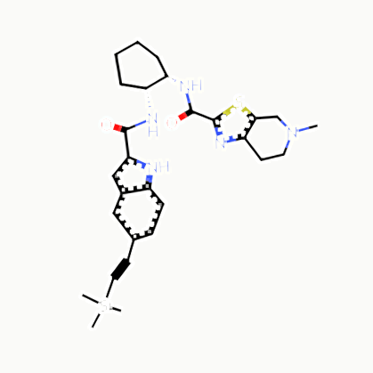 CN1CCc2nc(C(=O)N[C@H]3CCCC[C@H]3NC(=O)c3cc4cc(C#C[Si](C)(C)C)ccc4[nH]3)sc2C1